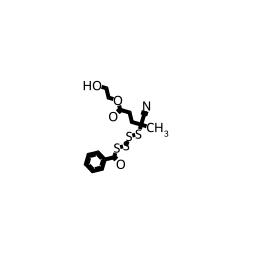 CC(C#N)(CCC(=O)OCCO)SSSSC(=O)c1ccccc1